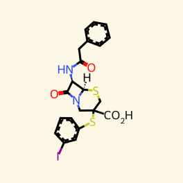 O=C(Cc1ccccc1)N[C@@H]1C(=O)N2CC(Sc3cccc(I)c3)(C(=O)O)CS[C@H]12